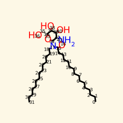 CCCCCCCCCCCCCCCC(=O)N(CCCCCCCCCCCCCC)[C@@H]1O[C@H](CO)[C@@H](O)[C@H](O)[C@H]1N